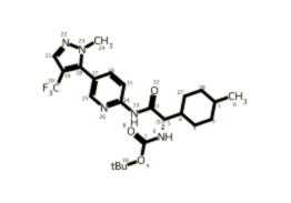 CC1CCC([C@H](NC(=O)OC(C)(C)C)C(=O)Nc2ccc(-c3c(C(F)(F)F)cnn3C)cn2)CC1